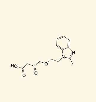 Cc1nc2ccccc2n1CCOCC(=O)CC(=O)O